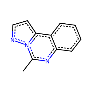 Cc1nc2ccccc2c2ccnn12